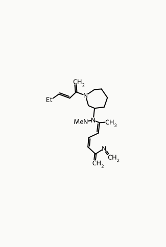 C=NC(=C)/C=C\C=C(\C)N(NC)C1CCCCN(C(=C)/C=C/CC)C1